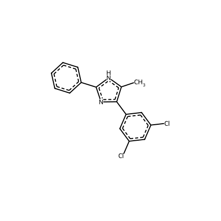 Cc1[nH]c(-c2ccccc2)nc1-c1cc(Cl)cc(Cl)c1